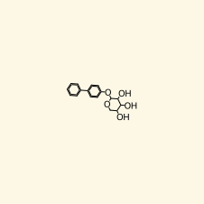 OC1COC(Oc2ccc(-c3ccccc3)cc2)C(O)C1O